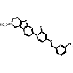 O=C(O)N1CCc2oc3cc(-n4ccc(OCc5cccc(C(F)(F)F)n5)cc4=O)ccc3c2C1